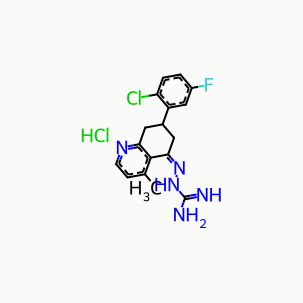 Cc1ccnc2c1/C(=N\NC(=N)N)CC(c1cc(F)ccc1Cl)C2.Cl